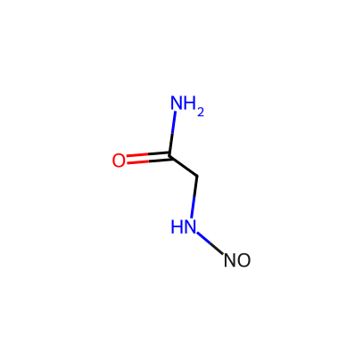 NC(=O)CNN=O